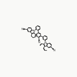 C=Cc1c(/C=C\C)c2cc(C#N)ccc2n1-c1cccc(-c2cc(-c3ccccc3-n3c4c(c5cc(C#N)ccc53)CCC=C4)ccc2C#N)c1